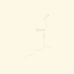 CCCCCC(C)CCC(=O)C[C]=O